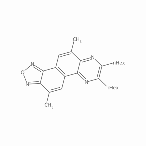 CCCCCCc1nc2c(C)cc3c(cc(C)c4nonc43)c2nc1CCCCCC